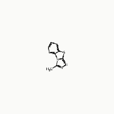 Cc1nnc2sc3ccccc3n12